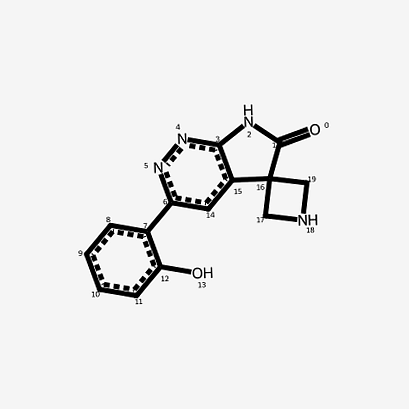 O=C1Nc2nnc(-c3ccccc3O)cc2C12CNC2